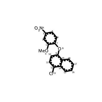 COc1cc([N+](=O)[O-])ccc1Oc1ccc(Cl)c2ccccc12